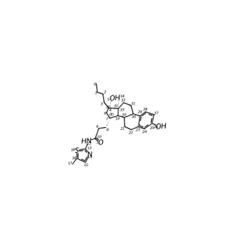 CCCC[C@]1(O)C[C@@H](CCC(=O)Nc2ncc(C)s2)C2C3CCc4cc(O)ccc4C3CC[C@@]21C